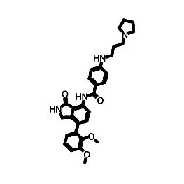 COc1cccc(-c2ccc(NC(=O)c3ccc(NCCCN4CCCC4)cc3)c3c2CNC3=O)c1OC